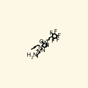 CC#CCn1c(N(C)CC(C)N)nc2cnn(CC=Cc3c(F)c(F)c(F)c(F)c3F)c(=O)c21